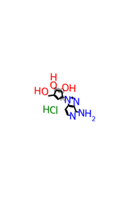 Cl.Nc1nccc2c1ncn2[C@@H]1C=C(CO)[C@@H](O)[C@H]1O